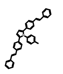 Cc1ccc(-n2c(-c3ccc(C=Cc4ccccc4)cc3)ccc2-c2ccc(C=Cc3ccccc3)cc2)cc1